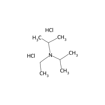 CCN(C(C)C)C(C)C.Cl.Cl